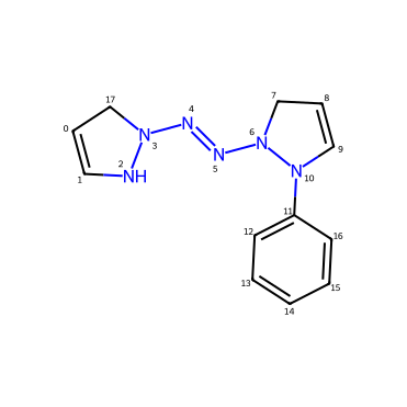 C1=CNN(N=NN2CC=CN2c2ccccc2)C1